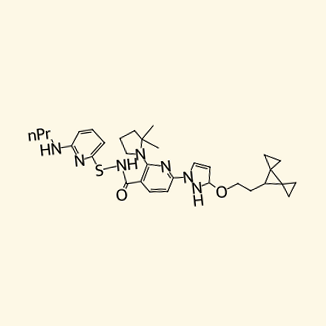 CCCNc1cccc(SNC(=O)c2ccc(N3C=CC(OCCC4C5(CC5)C45CC5)N3)nc2N2CCCC2(C)C)n1